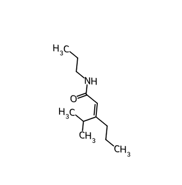 CCCNC(=O)/C=C(/CCC)C(C)C